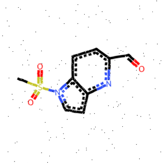 CS(=O)(=O)n1ccc2nc(C=O)ccc21